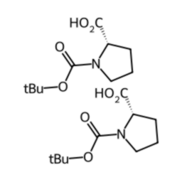 CC(C)(C)OC(=O)N1CCC[C@H]1C(=O)O.CC(C)(C)OC(=O)N1CCC[C@H]1C(=O)O